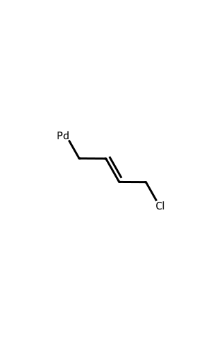 ClCC=C[CH2][Pd]